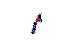 O=c1n(-c2ccc(N3CCN(c4ccc(OCC5COC(Cn6ccnc6)(c6ccc(Cl)cc6Cl)O5)cc4)CC3)cc2)c(=O)n2n1CCC2